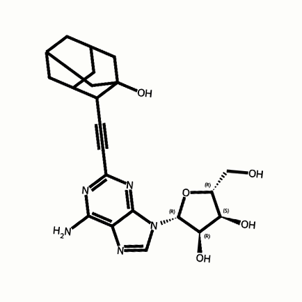 Nc1nc(C#CC2C3CC4CC(C3)CC2(O)C4)nc2c1ncn2[C@@H]1O[C@H](CO)[C@@H](O)[C@H]1O